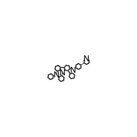 c1ccc(N2c3ccccc3-n3c4c2cccc4c2ccc4c(c5ccccc5n4-c4ccc(-c5cccnc5)cc4)c23)cc1